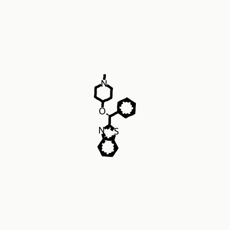 CN1CCC(O[C@H](c2ccccc2)c2nc3ccccc3s2)CC1